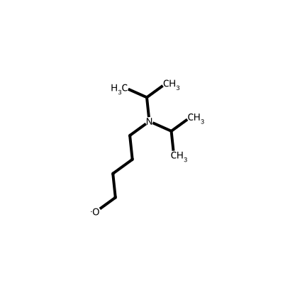 CC(C)N(CCCC[O])C(C)C